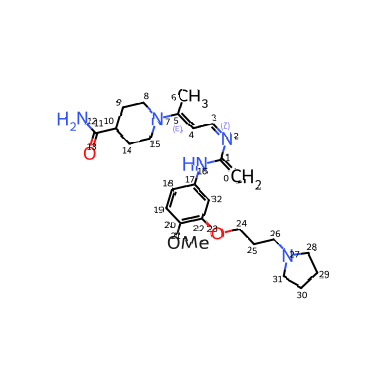 C=C(/N=C\C=C(/C)N1CCC(C(N)=O)CC1)Nc1ccc(OC)c(OCCCN2CCCC2)c1